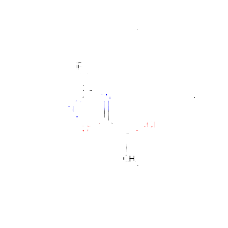 CC(C)c1noc(C(C)O)n1